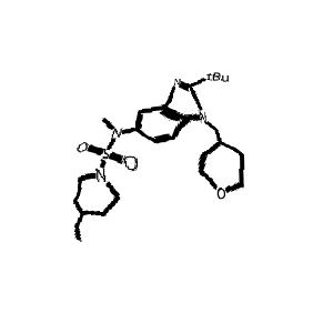 CC1CCN(S(=O)(=O)N(C)c2ccc3c(c2)nc(C(C)(C)C)n3CC2CCOCC2)CC1